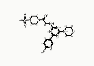 CS(=O)(=O)N1CCN(C(=O)CNc2nc(-c3ccc(F)nc3)nc(N3CCOCC3)n2)CC1